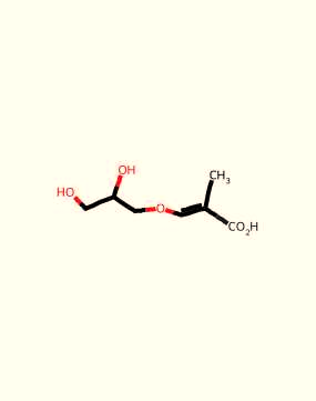 CC(=COCC(O)CO)C(=O)O